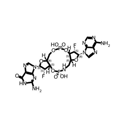 Nc1nc2c(ncn2[C@@H]2O[C@@H]3COP(=O)(O)O[C@@H]4[C@H](F)[C@H](n5cnc6c(N)ncnc65)O[C@@H]4CNP(=O)(O)O[C@@H]3[C@@H]2F)c(=O)[nH]1